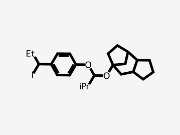 CCC(I)c1ccc(OC(OC23CCC(C2)C2CCCC2C3)C(C)C)cc1